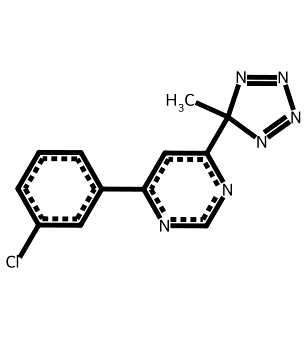 CC1(c2cc(-c3cccc(Cl)c3)ncn2)N=NN=N1